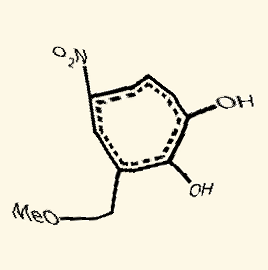 COCc1cc([N+](=O)[O-])cc(O)c1O